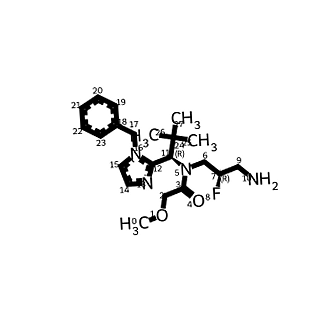 COCC(=O)N(C[C@H](F)CN)[C@@H](c1nccn1Cc1ccccc1)C(C)(C)C